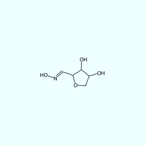 O/N=C/C1OCC(O)C1O